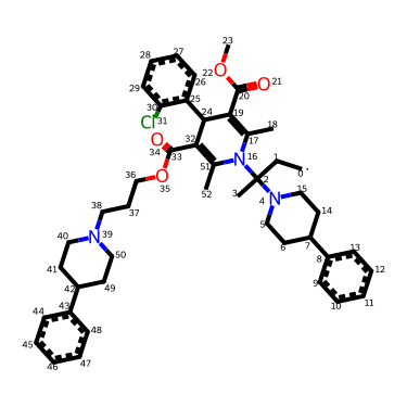 [CH2]CC(C)(N1CCC(c2ccccc2)CC1)N1C(C)=C(C(=O)OC)C(c2ccccc2Cl)C(C(=O)OCCCN2CCC(c3ccccc3)CC2)=C1C